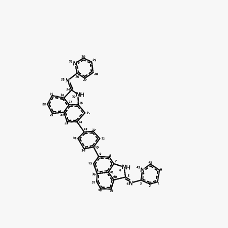 c1ccc(/N=C2\Nc3cc(-c4ccc(-c5cc6c7c(cccc7c5)/C(=N/c5ccccn5)N6)cc4)cc4cccc2c34)nc1